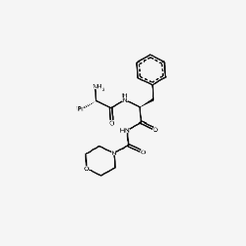 CC(C)[C@H](N)C(=O)N[C@@H](Cc1ccccc1)C(=O)NC(=O)N1CCOCC1